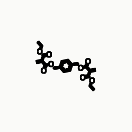 C=C(C(=O)OCC)C(=O)OCc1ccc(COC(=O)C(=C)C(=O)OCC)cc1